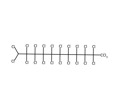 Cl[C](Cl)C(Cl)(Cl)C(Cl)(Cl)C(Cl)(Cl)C(Cl)(Cl)C(Cl)(Cl)C(Cl)(Cl)C(Cl)(Cl)C(Cl)(Cl)C(Cl)(Cl)C(Cl)(Cl)Cl